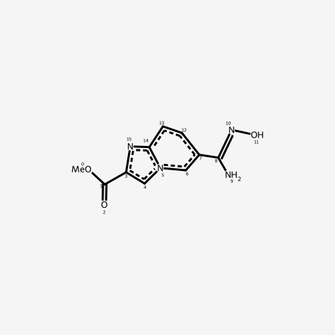 COC(=O)c1cn2cc(C(N)=NO)ccc2n1